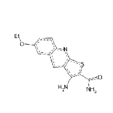 CCOc1ccc2nc3sc(C(N)=O)c(N)c3cc2c1